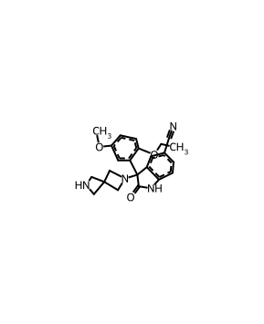 CCOc1ccc(OC)cc1C1(N2CC3(CNC3)C2)C(=O)Nc2ccc(C#N)cc21